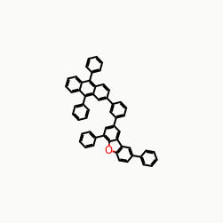 c1ccc(-c2ccc3oc4c(-c5ccccc5)cc(-c5cccc(-c6ccc7c(-c8ccccc8)c8ccccc8c(-c8ccccc8)c7c6)c5)cc4c3c2)cc1